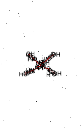 O=C(O)CCOCCOCCOCCNC(=O)CCCCCCCNC(=O)CCOCCC1C(OCCC(=O)NCCCCCCCC(=O)NCCOCCOCCOCCC(=O)O)C1(COCCC(=O)NCCCCCCCC(=O)NCCOCCOCCOCCC(=O)O)COCCC(=O)NCCCCCCCC(=O)NCCOCCOCCOCCC(=O)O